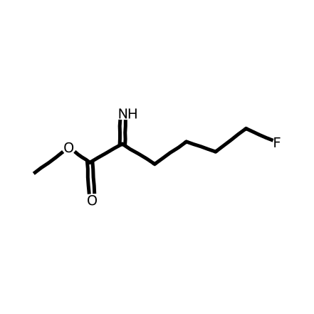 COC(=O)C(=N)CCCCF